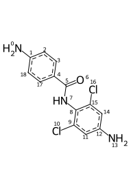 Nc1ccc(C(=O)Nc2c(Cl)cc(N)cc2Cl)cc1